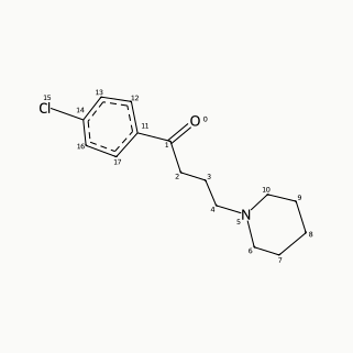 O=C(CCCN1CCCCC1)c1ccc(Cl)cc1